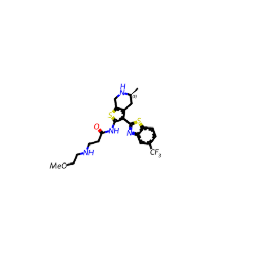 COCCNCCC(=O)Nc1sc2c(c1-c1nc3cc(C(F)(F)F)ccc3s1)C[C@H](C)NC2